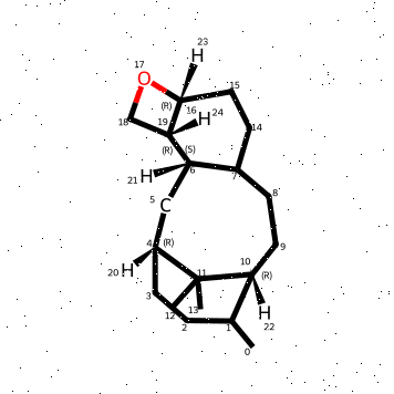 CC1CC[C@@H]2C[C@H]3C(CC[C@H]1C2(C)C)CC[C@H]1OC[C@H]13